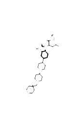 CCCC(C(=O)NC=O)n1c(=O)n(C)c2cc(C3CCN(C4CCN(CC5(F)CCNCC5)CC4)CC3)ccc21